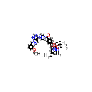 CCOc1cccc(Cn2ncc3c(N4CCN(C(=O)c5ccc(OC[C@H](CC(C)C)NC(=O)OC(C)(C)C)cc5)CC4)ncnc32)c1